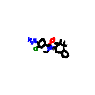 CCN(C(=O)c1ccc(N)c(Cl)c1)[C@@H]1Cc2ccccc2C(C)(C)C1(C)C